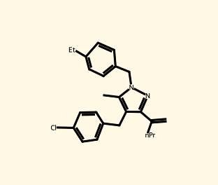 C=C(CCC)c1nn(Cc2ccc(CC)cc2)c(C)c1Cc1ccc(Cl)cc1